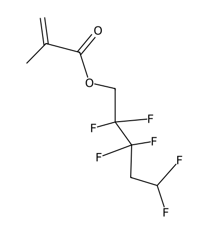 C=C(C)C(=O)OCC(F)(F)C(F)(F)CC(F)F